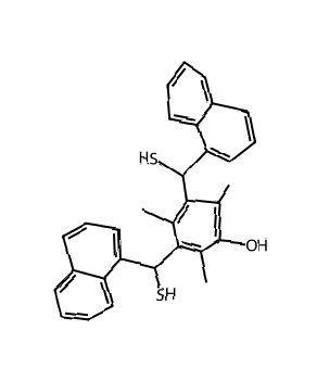 Cc1c(O)c(C)c(C(S)c2cccc3ccccc23)c(C)c1C(S)c1cccc2ccccc12